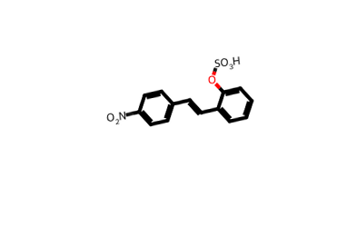 O=[N+]([O-])c1ccc(C=Cc2ccccc2OS(=O)(=O)O)cc1